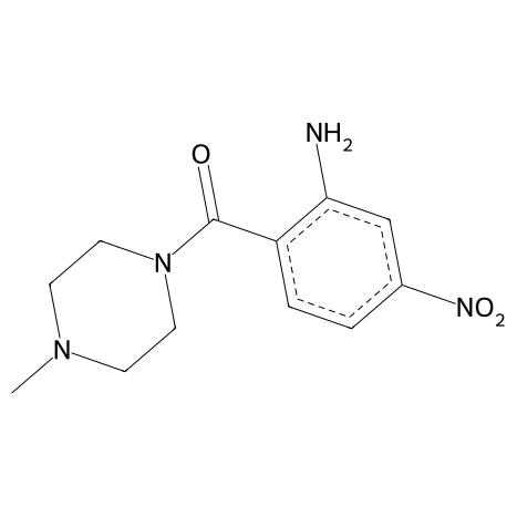 CN1CCN(C(=O)c2ccc([N+](=O)[O-])cc2N)CC1